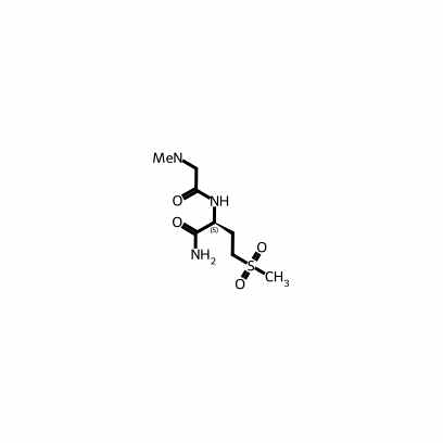 CNCC(=O)N[C@@H](CCS(C)(=O)=O)C(N)=O